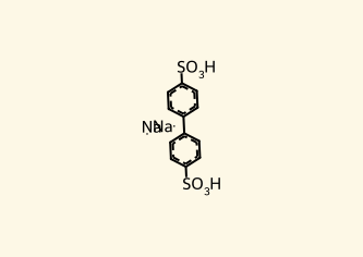 O=S(=O)(O)c1ccc(-c2ccc(S(=O)(=O)O)cc2)cc1.[Na].[Na]